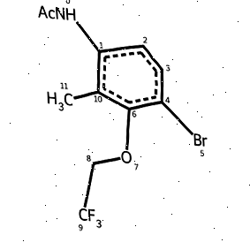 CC(=O)Nc1ccc(Br)c(OCC(F)(F)F)c1C